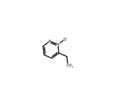 CCc1cccn[n+]1[O-]